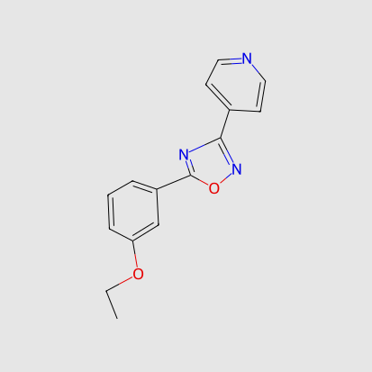 CCOc1cccc(-c2nc(-c3ccncc3)no2)c1